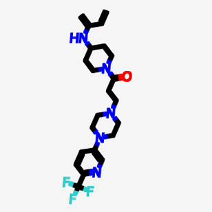 C=CC(=C)NC1CCN(C(=O)CCN2CCN(c3ccc(C(F)(F)F)nc3)CC2)CC1